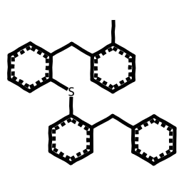 Cc1ccccc1Cc1ccccc1Sc1ccccc1Cc1ccccc1